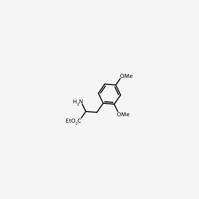 CCOC(=O)C(N)Cc1ccc(OC)cc1OC